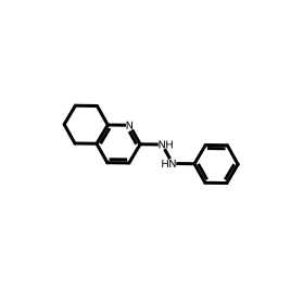 c1ccc(NNc2ccc3c(n2)CCCC3)cc1